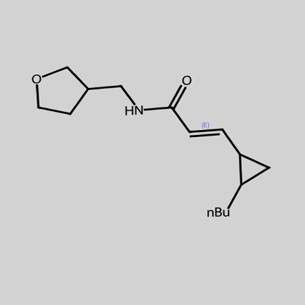 CCCCC1CC1/C=C/C(=O)NCC1CCOC1